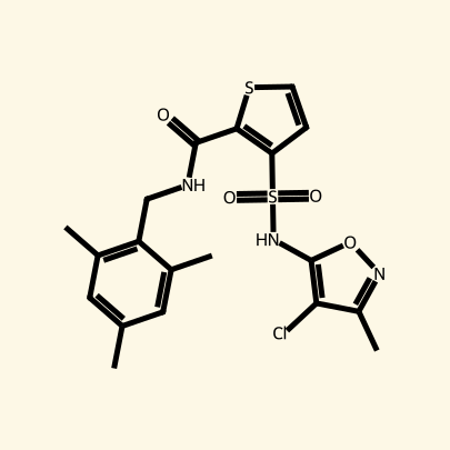 Cc1cc(C)c(CNC(=O)c2sccc2S(=O)(=O)Nc2onc(C)c2Cl)c(C)c1